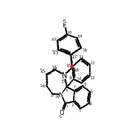 O=C1c2ccccc2C2(c3ccccc3)N(Cc3ccc(F)cc3)CCCCN12